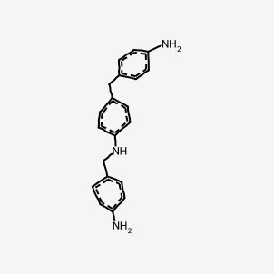 Nc1ccc(CNc2ccc(Cc3ccc(N)cc3)cc2)cc1